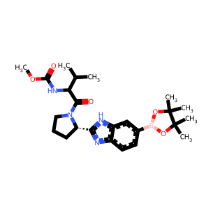 COC(=O)NC(C(=O)N1CCC[C@H]1c1nc2ccc(B3OC(C)(C)C(C)(C)O3)cc2[nH]1)C(C)C